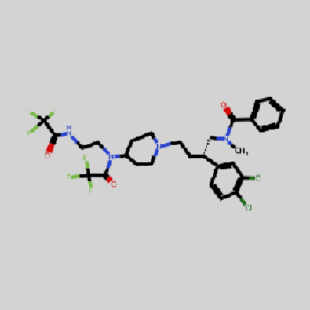 CN(C[C@@H](CCN1CCC(N(CCNC(=O)C(F)(F)F)C(=O)C(F)(F)F)CC1)c1ccc(Cl)c(Cl)c1)C(=O)c1ccccc1